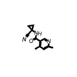 Cc1cc(C)c(C(=O)NC2(C#N)CC2)cn1